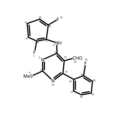 CSc1nc(Nc2c(F)cccc2F)c(C=O)c(-c2ccccc2F)n1